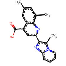 Cc1cc(C)c2nc(-c3nc4ccccn4c3C)cc(C(=O)O)c2c1